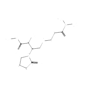 COC(=O)C(C)C(CSCCC(=O)N(C)C)N1CCCC1=O